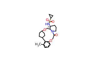 Cc1cccc2c1C1CCC(CC1)OCC1[C@@H](NS(=O)(=O)C3CC3)CCCN1C(=O)CO2